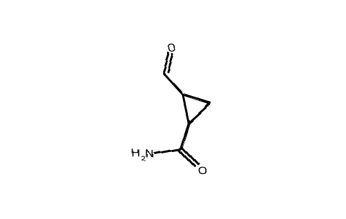 NC(=O)C1CC1C=O